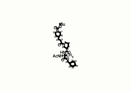 CC(=O)N[C@@](C)(NC(=O)[C@@H]1CCCN(C(=O)CCC2CCN(C(=O)OC(C)(C)C)CC2)C1)C(=O)OCc1ccccc1